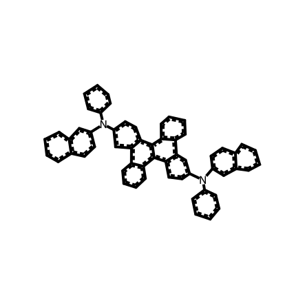 c1ccc(N(c2ccc3ccccc3c2)c2ccc3c(c2)c2ccccc2c2c4ccc(N(c5ccccc5)c5ccc6ccccc6c5)cc4c4ccccc4c32)cc1